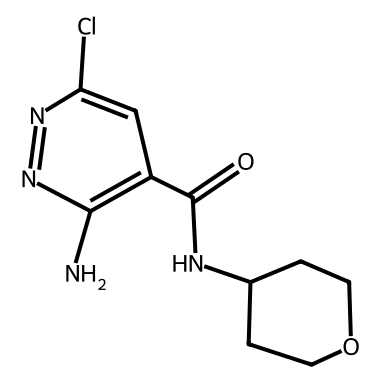 Nc1nnc(Cl)cc1C(=O)NC1CCOCC1